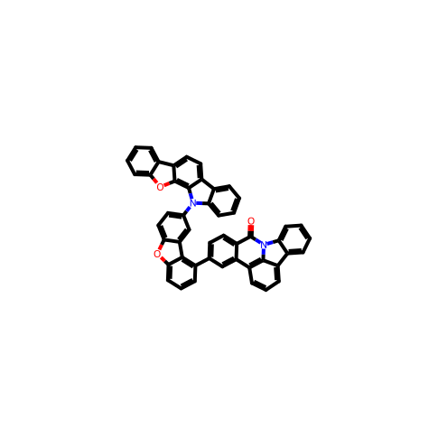 O=c1c2ccc(-c3cccc4oc5ccc(-n6c7ccccc7c7ccc8c9ccccc9oc8c76)cc5c34)cc2c2cccc3c4ccccc4n1c23